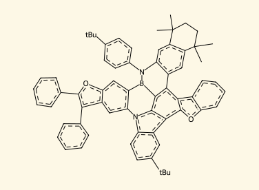 CC(C)(C)c1ccc(N2B3c4cc5oc(-c6ccccc6)c(-c6ccccc6)c5cc4-n4c5ccc(C(C)(C)C)cc5c5c6oc7ccccc7c6c(c3c54)-c3cc4c(cc32)C(C)(C)CCC4(C)C)cc1